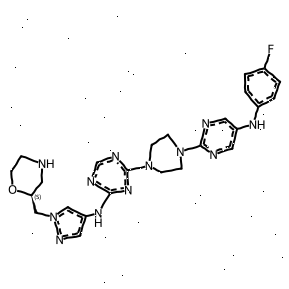 Fc1ccc(Nc2cnc(N3CCN(c4ncnc(Nc5cnn(C[C@@H]6CNCCO6)c5)n4)CC3)nc2)cc1